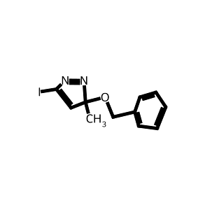 CC1(OCc2ccccc2)C=C(I)N=N1